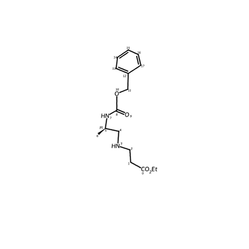 CCOC(=O)CCNC[C@@H](C)NC(=O)OCc1ccccc1